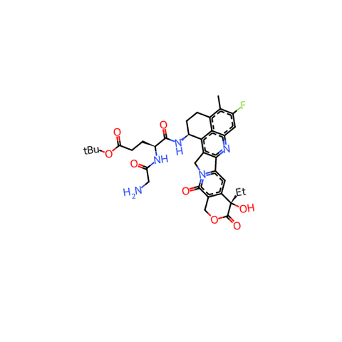 CC[C@@]1(O)C(=O)OCc2c1cc1n(c2=O)Cc2c-1nc1cc(F)c(C)c3c1c2[C@@H](NC(=O)[C@H](CCC(=O)OC(C)(C)C)NC(=O)CN)CC3